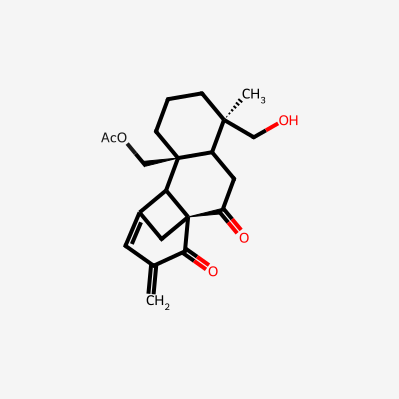 C=C1C=C2C[C@@]3(C(=O)CC4[C@](C)(CO)CCC[C@@]4(COC(C)=O)C23)C1=O